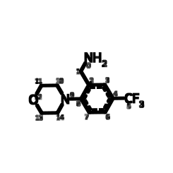 NCc1cc(C(F)(F)F)ccc1N1CCOCC1